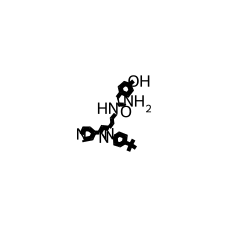 CC(C)(C)c1ccc(-n2nc(-c3ccncc3)cc2CCCN[C@@H](Cc2ccc(O)cc2)C(N)=O)cc1